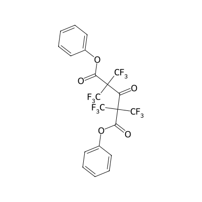 O=C(Oc1ccccc1)C(C(=O)C(C(=O)Oc1ccccc1)(C(F)(F)F)C(F)(F)F)(C(F)(F)F)C(F)(F)F